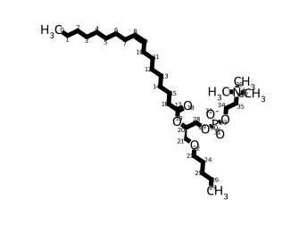 CCCCCCCC/C=C\CCCCCCCC(=O)O[C@H](COCCCCC)COP(=O)([O-])OCC[N+](C)(C)C